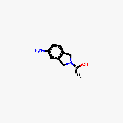 CB(O)N1Cc2ccc(N)cc2C1